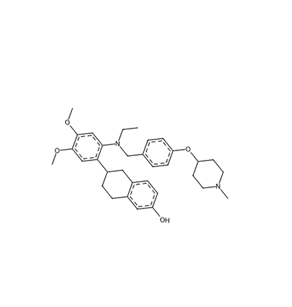 CCN(Cc1ccc(OC2CCN(C)CC2)cc1)c1cc(OC)c(OC)cc1C1CCc2cc(O)ccc2C1